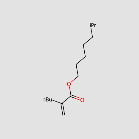 C=C(CCCC)C(=O)OCCCCCC(C)C